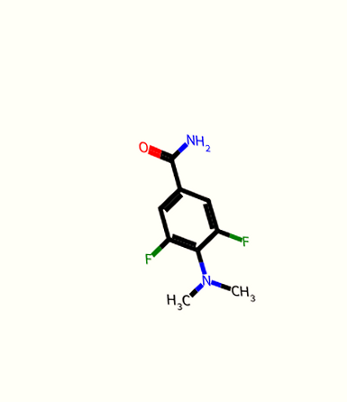 CN(C)c1c(F)cc(C(N)=O)cc1F